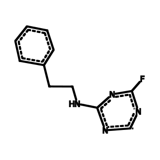 Fc1n[c]nc(NCCc2ccccc2)n1